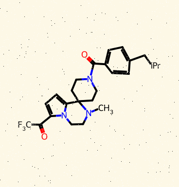 CC(C)Cc1ccc(C(=O)N2CCC3(CC2)c2ccc(C(=O)C(F)(F)F)n2CCN3C)cc1